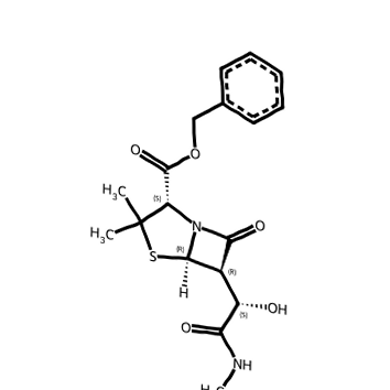 CNC(=O)[C@@H](O)[C@@H]1C(=O)N2[C@@H]1SC(C)(C)[C@@H]2C(=O)OCc1ccccc1